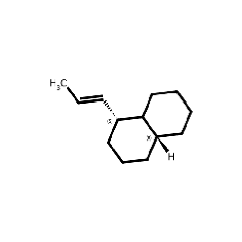 CC=C[C@H]1CCC[C@H]2CCCCC21